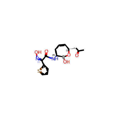 CC(=O)C[C@H]1C=CC[C@H](NC(=O)/C(=N\O)c2cccs2)B(O)O1